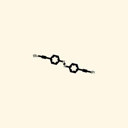 CC(C)C#Cc1ccc(/N=N/c2ccc(C#CC(C)(C)C)cc2)cc1